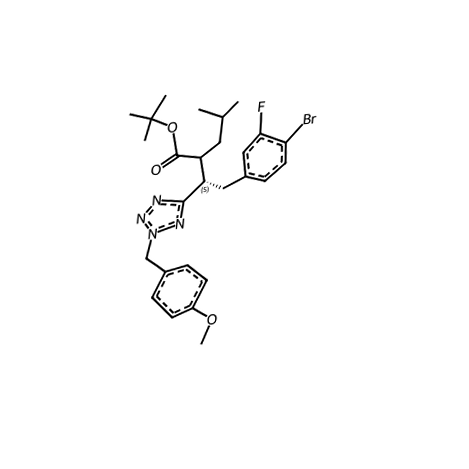 COc1ccc(Cn2nnc([C@@H](Cc3ccc(Br)c(F)c3)C(CC(C)C)C(=O)OC(C)(C)C)n2)cc1